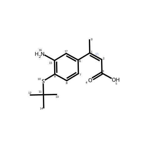 C/C(=C/C(=O)O)c1ccc(SC(C)(C)C)c(N)c1